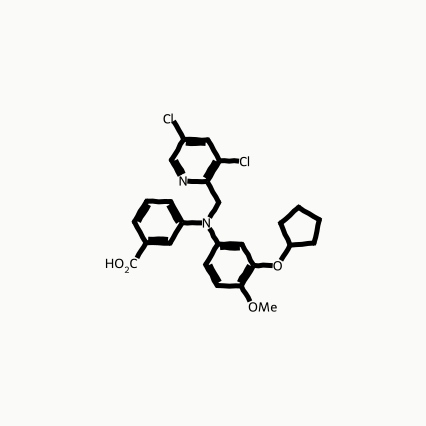 COc1ccc(N(Cc2ncc(Cl)cc2Cl)c2cccc(C(=O)O)c2)cc1OC1CCCC1